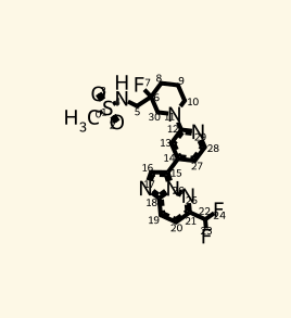 CS(=O)(=O)NCC1(F)CCCN(c2cc(-c3cnc4ccc(C(F)F)nn34)ccn2)C1